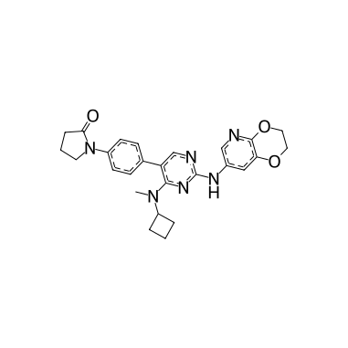 CN(c1nc(Nc2cnc3c(c2)OCCO3)ncc1-c1ccc(N2CCCC2=O)cc1)C1CCC1